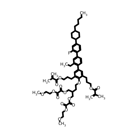 C=C(C)C(=O)OCCCc1cc(-c2ccc(-c3ccc(C4CCC(CCCCC)CC4)cc3F)cc2CC)cc(CCCOC(=O)C(=C)C)c1OCCC(COC(=O)C(=O)OCCOC)COC(=O)C(=O)OCCOC